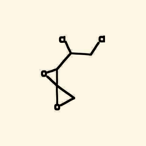 ClCC(Cl)C1OC12CO2